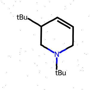 CC(C)(C)C1C=CCN(C(C)(C)C)C1